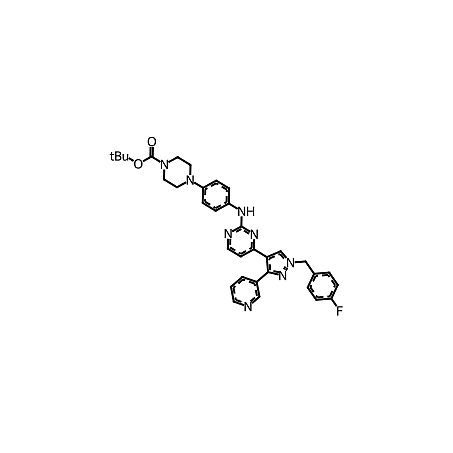 CC(C)(C)OC(=O)N1CCN(c2ccc(Nc3nccc(-c4cn(Cc5ccc(F)cc5)nc4-c4cccnc4)n3)cc2)CC1